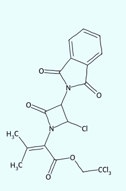 CC(C)=C(C(=O)OCC(Cl)(Cl)Cl)N1C(=O)C(N2C(=O)c3ccccc3C2=O)C1Cl